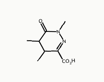 CC1C(=O)N(C)N=C(C(=O)O)C1C